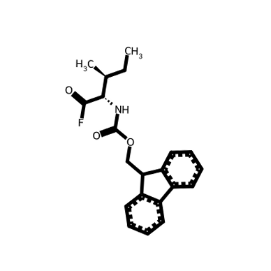 CC[C@H](C)[C@H](NC(=O)OCC1c2ccccc2-c2ccccc21)C(=O)F